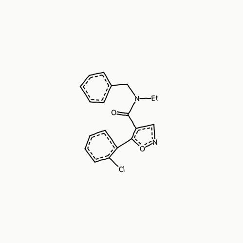 CCN(Cc1ccccc1)C(=O)c1cnoc1-c1ccccc1Cl